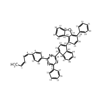 C/C=C\C=C/c1ccc(-c2nc(-c3ccccc3)nc(-c3ccc(-c4ccc(-c5ccccc5)c5oc6ccccc6c45)c4ccccc34)n2)cc1